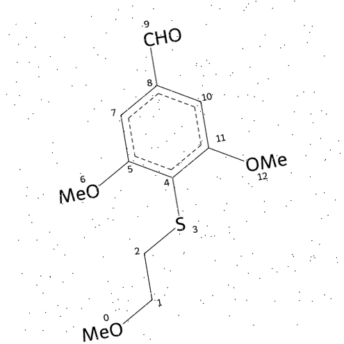 COCCSc1c(OC)cc(C=O)cc1OC